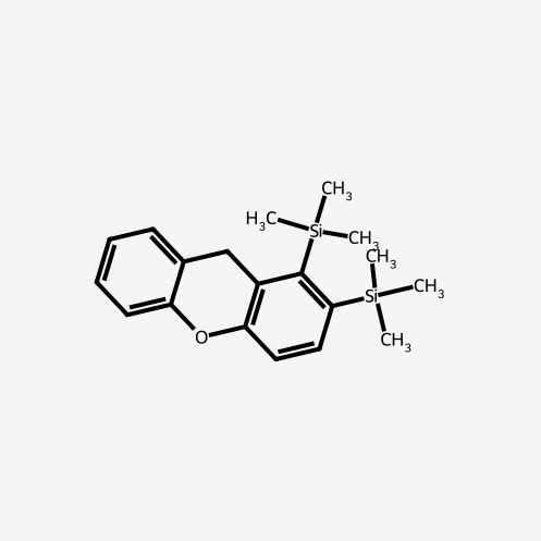 C[Si](C)(C)c1ccc2c(c1[Si](C)(C)C)Cc1ccccc1O2